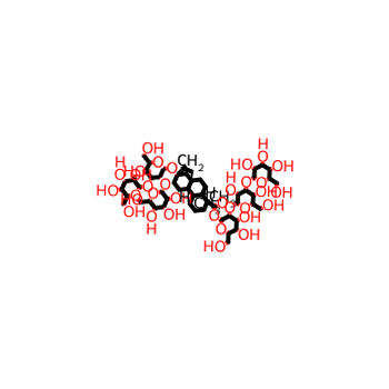 C=C1C[C@@]23CC[C@H]4[C@@](C)(CCC[C@@]4(C)C(=O)OC4OC(CO)C(O)C(O)C4OC4OC(CO)C(O)C(OC5OC(CO)C(O)C(O)C5O)C4O)[C@@H]2CCC1(OC1OC(CO)C(O)C(OC2OC(CO)C(O)C(O)C2O)C1OC1OC(CO)C(O)C(O)C1O)C3